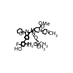 CCc1cc(O)c(F)cc1-c1ccc2c(-c3nc4c(n3COCC[Si](C)(C)C)CN(C3CCN(C)CC3)C(C(=O)OC)C4)nn(C3CCCCO3)c2c1